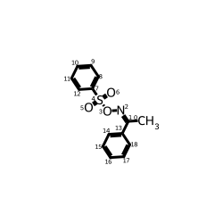 CC(=NOS(=O)(=O)c1ccccc1)c1ccccc1